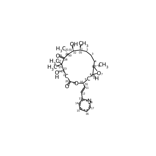 C[C@H]1CCC[C@@]2(C)O[C@H]2C[C@@H](C=Cc2ccccn2)OC(=O)C[C@H](O)C(C)(C)C(=O)[C@H](C)[C@H]1O